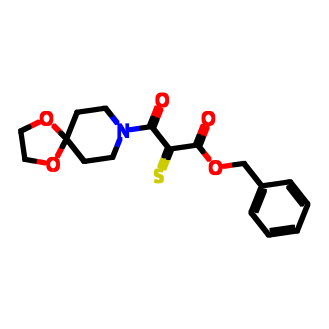 O=C(OCc1ccccc1)C(=S)C(=O)N1CCC2(CC1)OCCO2